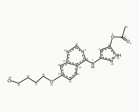 CC(=O)Oc1cc(Nc2ncnc3cc(OCCCCCl)ccc23)n[nH]1